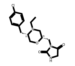 CCN1C[C@H](CN2C(=O)CNC2=O)OC[C@@H]1Cc1ccc(Cl)cc1